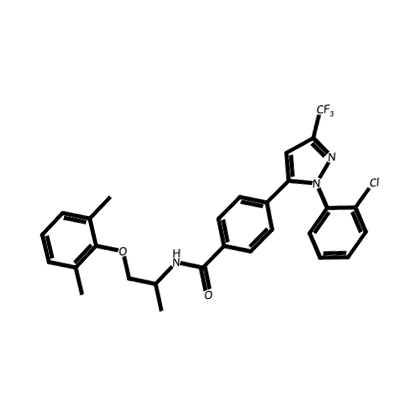 Cc1cccc(C)c1OCC(C)NC(=O)c1ccc(-c2cc(C(F)(F)F)nn2-c2ccccc2Cl)cc1